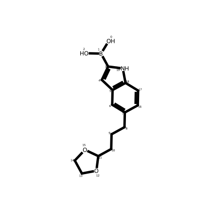 OB(O)c1cc2cc(CCCC3OCCO3)ccc2[nH]1